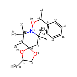 CCCC1COC2(CC(C)(CC)N(OC(C)c3ccccc3)C(C)(CC)C2C)O1